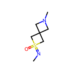 CN=S1(=O)CC2(CN(C)C2)C1